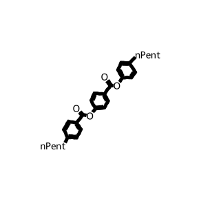 CCCCCc1ccc(OC(=O)c2ccc(OC(=O)c3ccc(CCCCC)cc3)cc2)cc1